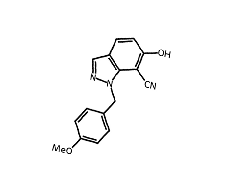 COc1ccc(Cn2ncc3ccc(O)c(C#N)c32)cc1